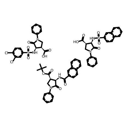 CC(C)(C)OC(=O)[C@@H]1CN(c2ccccc2)C(=O)[C@@H]1NC(=O)c1ccc2ccccc2c1.O=C(O)[C@@H]1CN(c2ccccc2)C(=O)[C@@H]1NS(=O)(=O)c1ccc(Cl)c(Cl)c1.O=C(O)[C@@H]1CN(c2ccccc2)C(=O)[C@@H]1NS(=O)(=O)c1ccc2ccccc2c1